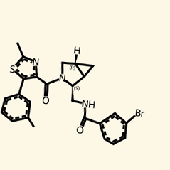 Cc1cccc(-c2sc(C)nc2C(=O)N2C[C@@H]3CC3[C@H]2CNC(=O)c2cccc(Br)c2)c1